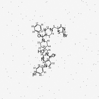 O=C([C@@H]1CCN(Cc2cnc(Br)s2)C[C@H]1c1ccccc1)N1CCC(O)(Cn2cnc3c(ccn3-c3ccc(F)cc3)c2=O)CC1